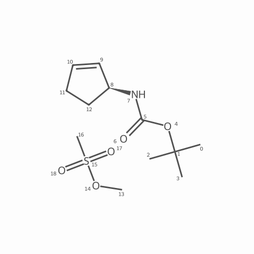 CC(C)(C)OC(=O)N[C@@H]1C=CCC1.COS(C)(=O)=O